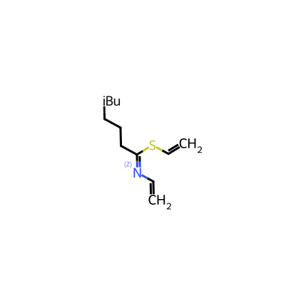 C=C/N=C(/CCCC(C)CC)SC=C